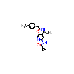 CC(NC(=O)Cc1ccc(C(F)(F)F)cc1)c1ccnc(NC(=O)C2CC2)c1